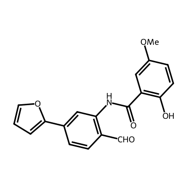 COc1ccc(O)c(C(=O)Nc2cc(-c3ccco3)ccc2C=O)c1